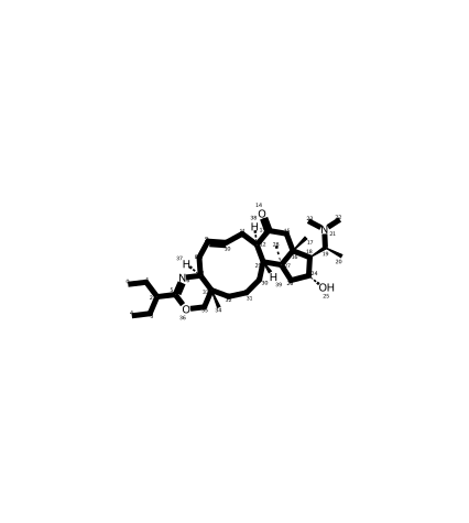 CCC(CC)C1=N[C@H]2C/C=C/C[C@H]3C(=O)C[C@]4(C)[C@@H]([C@H](C)N(C)C)[C@H](O)C[C@@]4(C)[C@@H]3CCC[C@]2(C)CO1